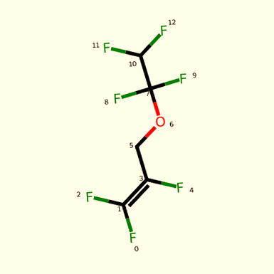 FC(F)=C(F)COC(F)(F)C(F)F